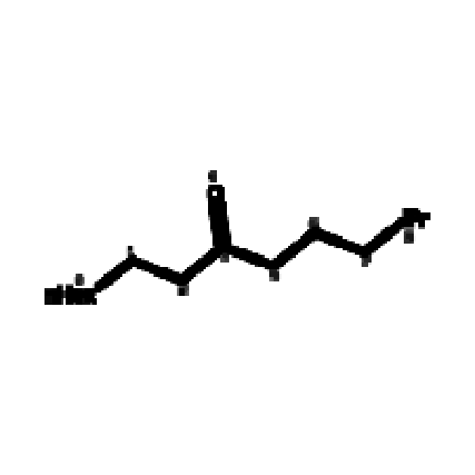 CCCCCCCCC(=O)CCCC(C)C